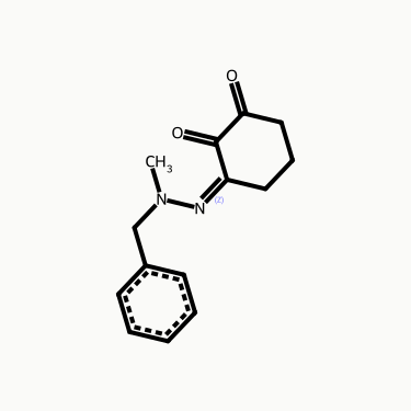 CN(Cc1ccccc1)/N=C1/CCCC(=O)C1=O